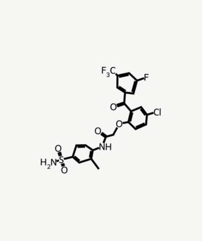 Cc1cc(S(N)(=O)=O)ccc1NC(=O)COc1ccc(Cl)cc1C(=O)c1cc(F)cc(C(F)(F)F)c1